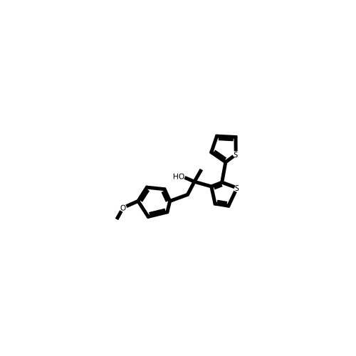 COc1ccc(CC(C)(O)c2ccsc2-c2cccs2)cc1